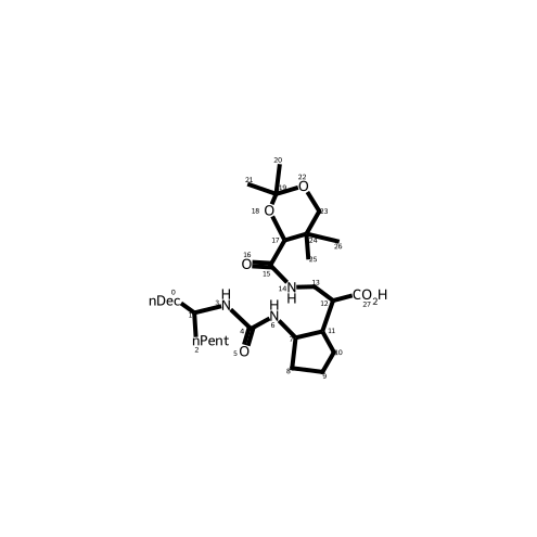 CCCCCCCCCCC(CCCCC)NC(=O)NC1CCCC1C(CNC(=O)C1OC(C)(C)OCC1(C)C)C(=O)O